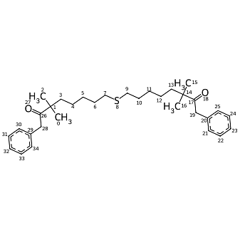 CC(C)(CCCCCSCCCCCC(C)(C)C(=O)Cc1ccccc1)C(=O)Cc1ccccc1